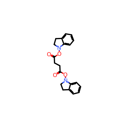 O=C(CCC(=O)ON1CCc2ccccc21)ON1CCc2ccccc21